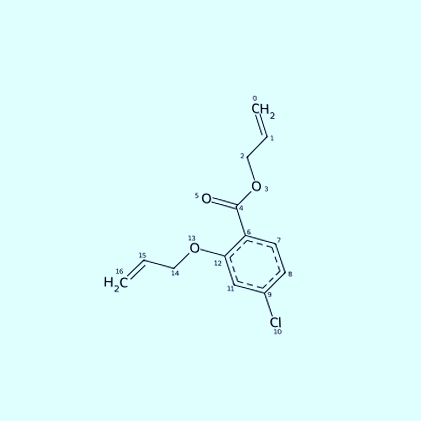 C=CCOC(=O)c1ccc(Cl)cc1OCC=C